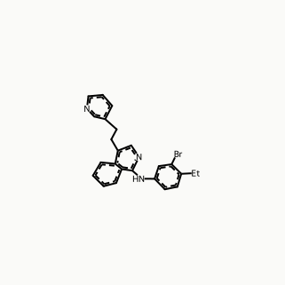 CCc1ccc(Nc2ncc(CCc3cccnc3)c3ccccc23)cc1Br